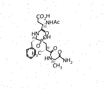 CC(=O)N[C@@H](CC(=O)O)C(=O)N[C@@H](Cc1ccccc1)P(=O)(O)C[C@@H](C)C(=O)N[C@@H](C)C(N)=O